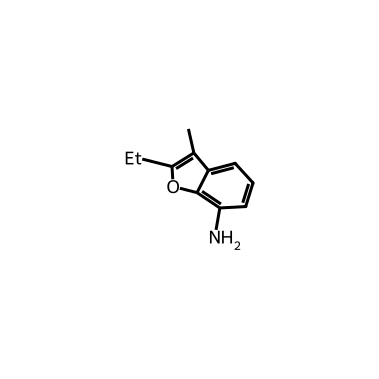 CCc1oc2c(N)cccc2c1C